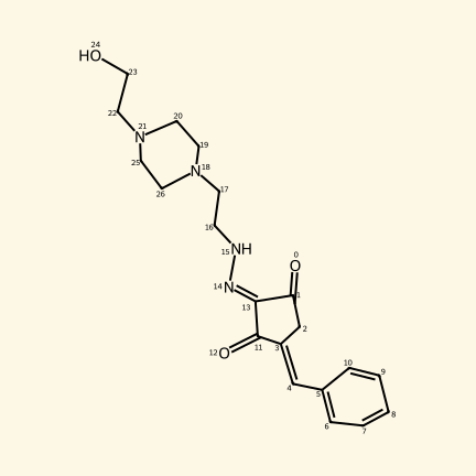 O=C1C/C(=C\c2ccccc2)C(=O)/C1=N/NCCN1CCN(CCO)CC1